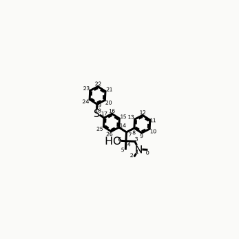 CN(C)CC(C)(O)C(c1ccccc1)c1ccc(Sc2ccccc2)cc1